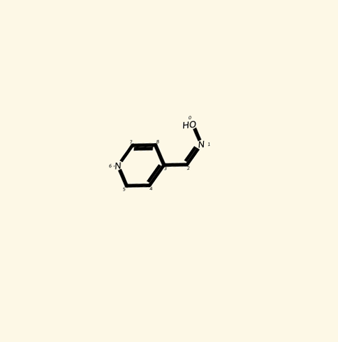 O/N=C\C1=CC[N]C=C1